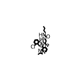 CCCCNC(=O)NCC(=O)N(C)c1ccn2cc(C)nc2c1OCc1c(Cl)cccc1Cl